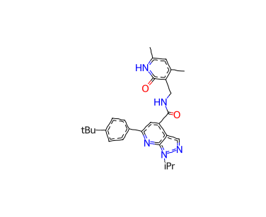 Cc1cc(C)c(CNC(=O)c2cc(-c3ccc(C(C)(C)C)cc3)nc3c2cnn3C(C)C)c(=O)[nH]1